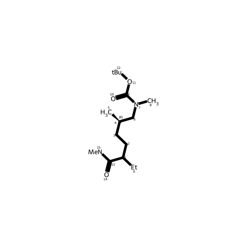 CCC(CC[C@@H](C)CN(C)C(=O)OC(C)(C)C)C(=O)NC